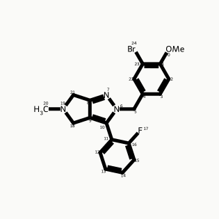 COc1ccc(Cn2nc3c(c2-c2ccccc2F)CN(C)C3)cc1Br